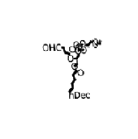 CCCCCCCCCCCCCCCC(=O)OC[C@H](COP(=O)([O-])OCC[N+](C)(C)C)OC(=O)CCC=O